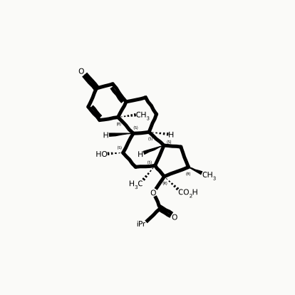 CC(C)C(=O)O[C@]1(C(=O)O)[C@H](C)C[C@H]2[C@@H]3CCC4=CC(=O)C=C[C@]4(C)[C@H]3[C@@H](O)C[C@@]21C